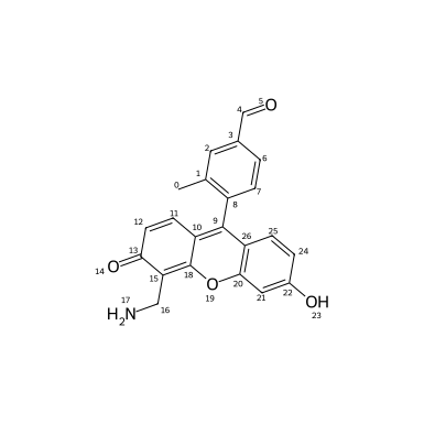 Cc1cc(C=O)ccc1-c1c2ccc(=O)c(CN)c-2oc2cc(O)ccc12